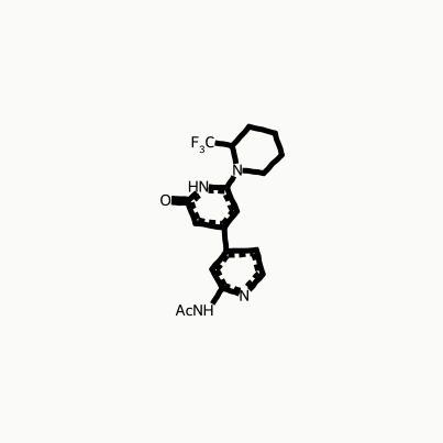 CC(=O)Nc1cc(-c2cc(N3CCCCC3C(F)(F)F)[nH]c(=O)c2)ccn1